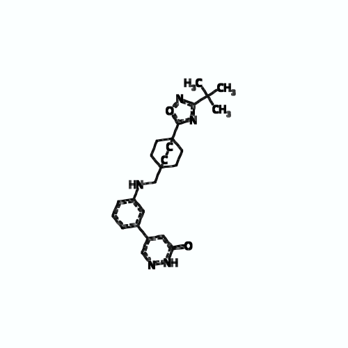 CC(C)(C)c1noc(C23CCC(CNc4cccc(-c5cn[nH]c(=O)c5)c4)(CC2)CC3)n1